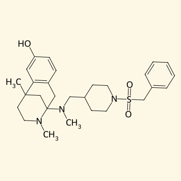 CN1CCC2(C)CC1(N(C)CC1CCN(S(=O)(=O)Cc3ccccc3)CC1)Cc1ccc(O)cc12